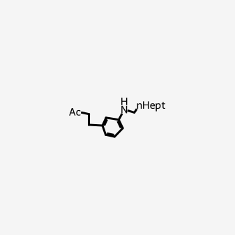 CCCCCCCCNc1cccc(CCC(C)=O)c1